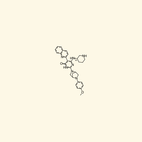 COc1ccc(N2CC3CC2CN3c2nc(N[C@@H]3CCCNC3)c(-c3ccc4ccccc4n3)c(=O)[nH]2)cc1